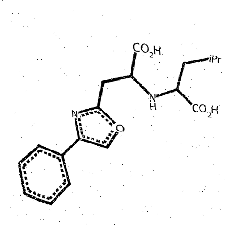 CC(C)CC(NC(Cc1nc(-c2ccccc2)co1)C(=O)O)C(=O)O